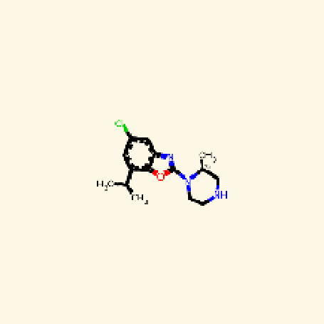 CC(C)c1cc(Cl)cc2nc(N3CCNC[C@@H]3C)oc12